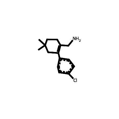 CC1(C)CCC(CN)=C(c2ccc(Cl)cc2)C1